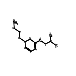 CCC(CC)COC1=CC=CC(CCCN)C1